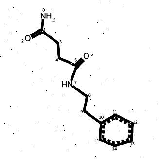 NC(=O)CCC(=O)NC[CH]c1ccccc1